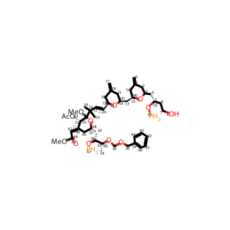 C=C1CC(C[C@H](CCO)OP)O[C@@H](C[C@@H]2CC(=C)C[C@H](/C=C/C(C)(C)[C@]3(OC)O[C@H](C[C@@H](OP)[C@@H](C)OCOCc4ccccc4)C/C(=C\C(=O)OC)[C@@H]3OC(C)=O)O2)C1